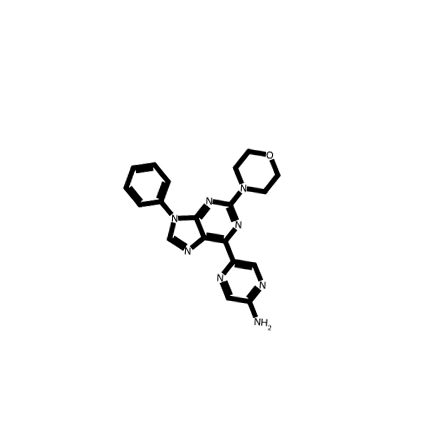 Nc1cnc(-c2nc(N3CCOCC3)nc3c2ncn3-c2ccccc2)cn1